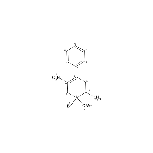 COC1(Br)CC([N+](=O)[O-])=C(c2ccccc2)C=C1C